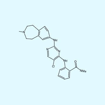 CNC(=O)c1ccccc1Nc1nc(Nc2ccc3c(c2)CCN(C)CC3)ncc1Cl